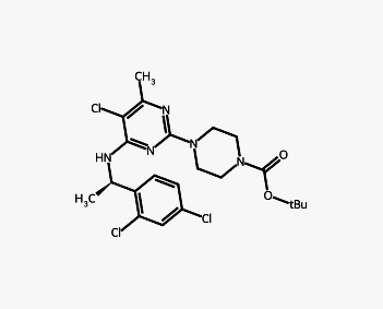 Cc1nc(N2CCN(C(=O)OC(C)(C)C)CC2)nc(N[C@H](C)c2ccc(Cl)cc2Cl)c1Cl